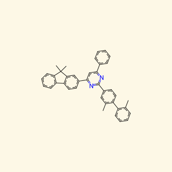 Cc1ccccc1-c1ccc(-c2nc(-c3ccccc3)cc(-c3ccc4c(c3)C(C)(C)c3ccccc3-4)n2)cc1C